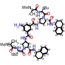 CN[C@@H](C)C(=O)N[C@H](C(=O)N1C[C@@H](NC(=O)c2cc(N)cc(C(=O)N[C@H]3C[C@@H](C(=O)N[C@@H]4CCCc5ccccc54)N(C(=O)[C@@H](NC(=O)[C@H](C)NC)C(C)(C)C)C3)c2)C[C@H]1C(=O)N[C@@H]1CCCc2ccccc21)C(C)(C)C